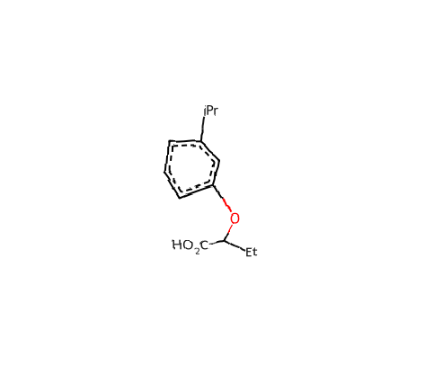 CCC(Oc1cccc(C(C)C)c1)C(=O)O